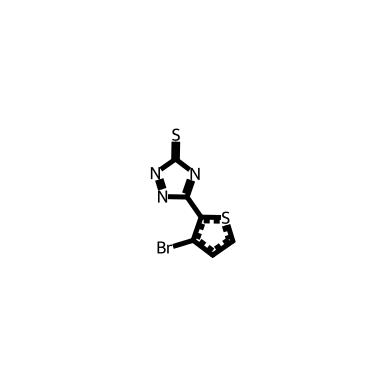 S=C1N=NC(c2sccc2Br)=N1